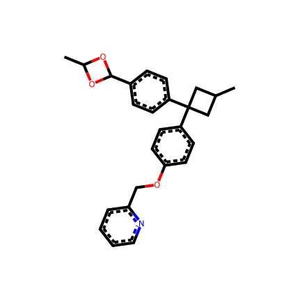 CC1CC(c2ccc(OCc3ccccn3)cc2)(c2ccc(C3OC(C)O3)cc2)C1